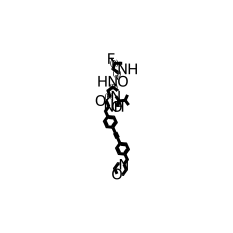 CC(C)C(=O)N1C[C@H](NC(=O)[C@@H]2C[C@@H](F)CN2)C[C@@H]1C(=O)NCc1ccc(C#Cc2ccc(CN3CCOCC3)cc2)cc1